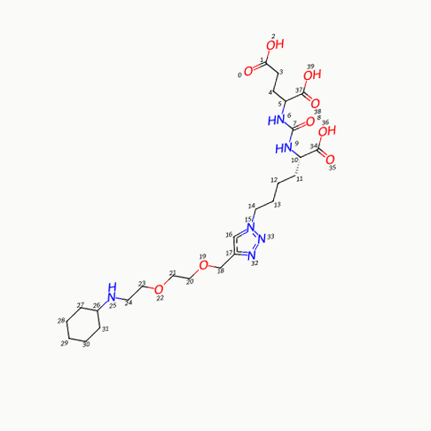 O=C(O)CCC(NC(=O)N[C@@H](CCCCn1cc(COCCOCCNC2CCCCC2)nn1)C(=O)O)C(=O)O